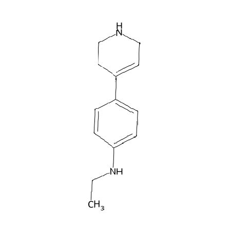 CCNc1ccc(C2=CCNCC2)cc1